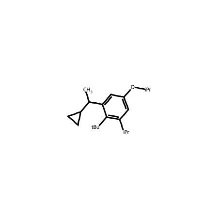 CC(C)Oc1cc(C(C)C)c(C(C)(C)C)c(C(C)C2CC2)c1